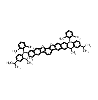 Cc1cccc(C)c1N(c1ccc2cc3c(cc2c1)oc1c3ccc2c3cc4cc5c(cc4cc3oc21)N(c1c(C)cccc1C)c1ccc(C(C)C)cc1C5C)c1ccc(C(C)C)cc1C(C)C